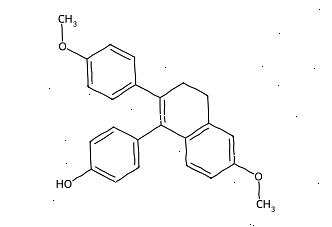 COc1ccc(C2=C(c3ccc(O)cc3)c3ccc(OC)cc3CC2)cc1